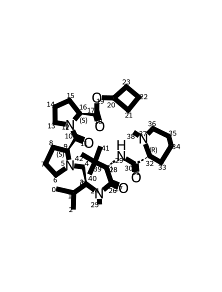 CC(C)[C@@H](CN1CCC[C@H]1C(=O)N1CCC[C@H]1C(=O)OC1CCC1)N(C)C(=O)[C@@H](NC(=O)[C@H]1CCCCN1C)C(C)(C)C